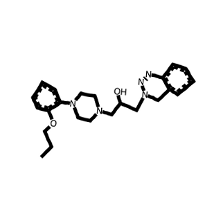 CCCOc1ccccc1N1CCN(CC(O)CN2Cc3ccccc3N=N2)CC1